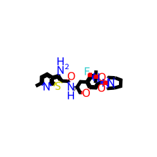 Cc1ccc2c(N)c(C(=O)N[C@H]3COc4cc(N5CC6CCC(C5)N6C(=O)OC(C)(C)C)nc(F)c4C3)sc2n1